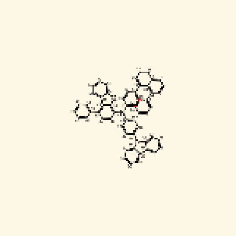 c1ccc(-c2cccc3cccc(-c4ccc(N(c5ccc(-n6c7ccccc7c7ccccc76)cc5)c5ccc(-c6ccccc6)c6c5oc5ccccc56)cc4)c23)cc1